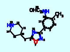 Cc1ccc(-c2noc(CC3CCNCC3)n2)cc1NC=O